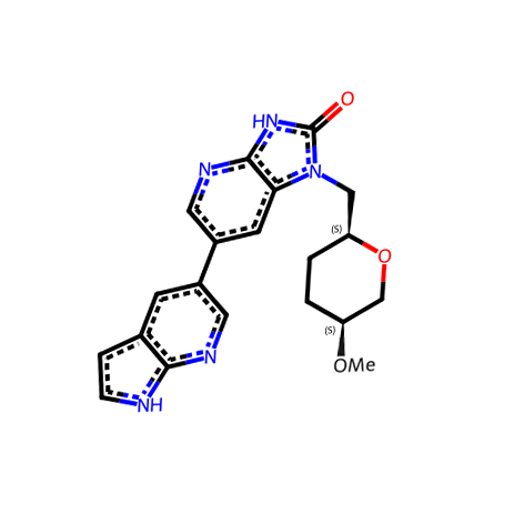 CO[C@H]1CC[C@@H](Cn2c(=O)[nH]c3ncc(-c4cnc5[nH]ccc5c4)cc32)OC1